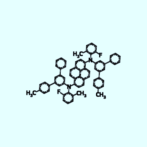 Cc1ccc(-c2cc(-c3ccccc3)cc(N(c3c(C)cccc3F)c3ccc4ccc5c(N(c6cc(-c7ccccc7)cc(-c7ccc(C)cc7)c6)c6c(C)cccc6F)ccc6ccc3c4c65)c2)cc1